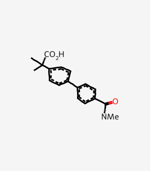 CNC(=O)c1ccc(-c2ccc(C(C)(C)C(=O)O)cc2)cc1